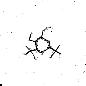 [CH2]Cc1c(CN)cc(C(C)(C)C)cc1C(C)(C)C